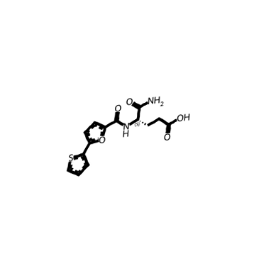 NC(=O)[C@H](CCC(=O)O)NC(=O)c1ccc(-c2cccs2)o1